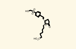 O=C(O)CCCCCC[C@@H]1C(=O)CC[C@H]1C=Cc1ccc(S(=O)(=O)CO)cc1